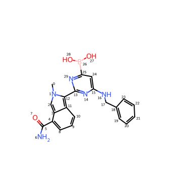 Cn1cc2c(C(N)=O)cccc2c1-c1nc(NCc2ccccc2)cc(B(O)O)n1